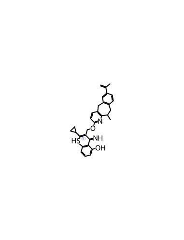 C=C(C)c1ccc2c(c1)Cc1ccc(OC/C(C(=N)c3c(C)cccc3O)=C(/S)C3CC3)nc1C(C)C2